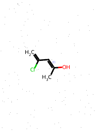 C=C(Cl)/C=C(\C)O